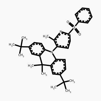 Cc1nc(S(=O)(=O)c2ccccc2)ccc1N1c2ccc(C(C)(C)C)cc2C(C)(C)c2cc(C(C)(C)C)ccc21